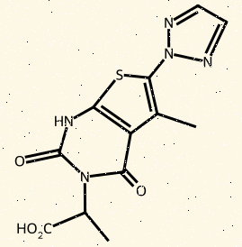 Cc1c(-n2nccn2)sc2[nH]c(=O)n(C(C)C(=O)O)c(=O)c12